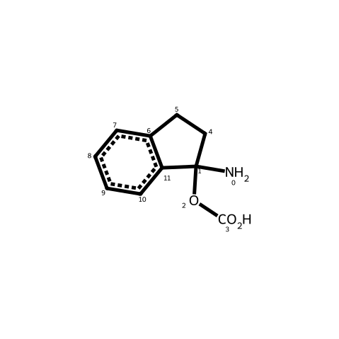 NC1(OC(=O)O)CCc2ccccc21